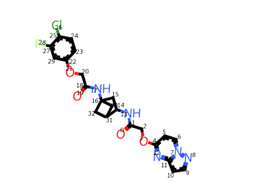 O=C(COc1ccn2nccc2n1)NC1CC2(NC(=O)COc3ccc(Cl)c(F)c3)CC1C2